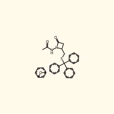 CC(=O)NN1C(=O)CC1CSC(c1ccccc1)(c1ccccc1)c1ccccc1.c1cc2cc(c1)O2